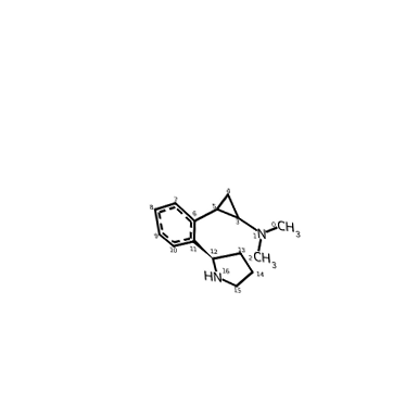 CN(C)C1CC1c1ccccc1[C@H]1CCCN1